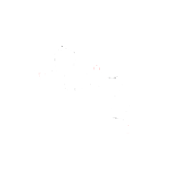 COc1ccc2c(ccc3oc4c5cccc(OC)c5ccc4c32)c1